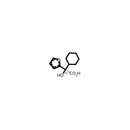 O=C(O)[C@](O)(c1cccs1)C1CCCCC1